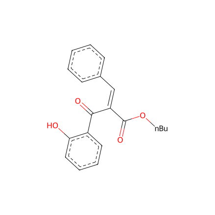 CCCCOC(=O)C(=Cc1ccccc1)C(=O)c1ccccc1O